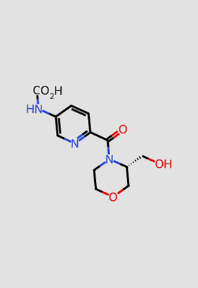 O=C(O)Nc1ccc(C(=O)N2CCOC[C@H]2CO)nc1